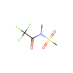 CN(C(=O)C(F)(F)F)S(C)(=O)=O